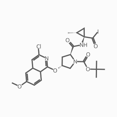 COC1=CC2C=C(Cl)N=C(O[C@@H]3C[C@@H](C(=O)N[C@]4(C(=O)I)C[C@H]4C)N(C(=O)OC(C)(C)C)C3)C2C=C1